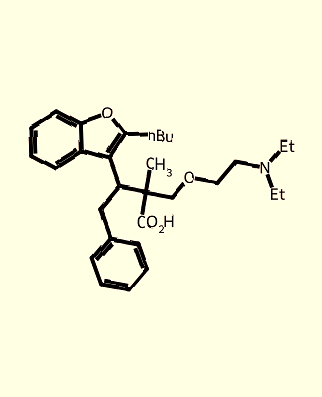 CCCCc1oc2ccccc2c1C(Cc1ccccc1)C(C)(COCCN(CC)CC)C(=O)O